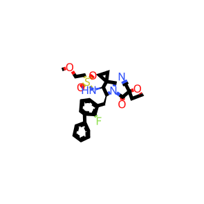 COCCS(=O)(=O)N[C@@H]1[C@H](Cc2cccc(-c3ccccc3)c2F)N(C(=O)C2(C#N)CCO2)CC12CC2